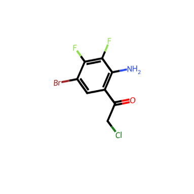 Nc1c(C(=O)CCl)cc(Br)c(F)c1F